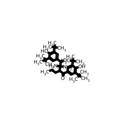 CCCC(C(=O)c1cc(C(C)(C)C)c(O)c(C(C)(C)C)c1)C(N)(N)C(=O)c1cc(C(C)(C)C)c(O)c(C(C)(C)C)c1